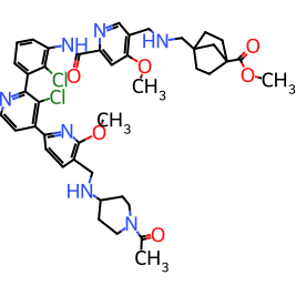 COC(=O)C12CCC(CNCc3cnc(C(=O)Nc4cccc(-c5nccc(-c6ccc(CNC7CCN(C(C)=O)CC7)c(OC)n6)c5Cl)c4Cl)cc3OC)(CC1)C2